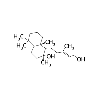 C/C(=C\CO)CCC1[C@@]2(C)CCCC(C)(C)C2CC[C@@]1(C)O